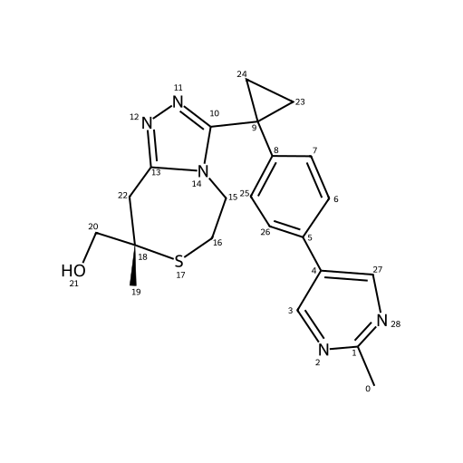 Cc1ncc(-c2ccc(C3(c4nnc5n4CCS[C@](C)(CO)C5)CC3)cc2)cn1